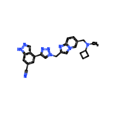 CN(Cc1ccc2nc(Cn3cc(-c4cc(C#N)cc5[nH]ncc45)nn3)cn2c1)C1CCC1